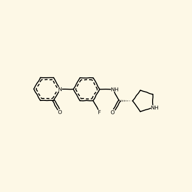 O=C(Nc1ccc(-n2ccccc2=O)cc1F)[C@@H]1CCNC1